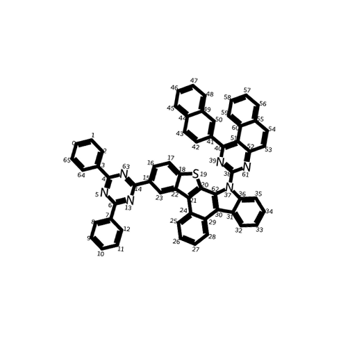 c1ccc(-c2nc(-c3ccccc3)nc(-c3ccc4sc5c(c4c3)c3ccccc3c3c4ccccc4n(-c4nc(-c6ccc7ccccc7c6)c6c(ccc7ccccc76)n4)c53)n2)cc1